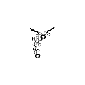 CCCCCC(=O)Oc1ccc(C[C@H](N)C(=O)O[C@@H](C)COC(=O)OC2CCCCC2)cc1OC(=O)CCCCC